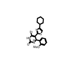 CCC1=C(c2nc(C3CCCCC3)cs2)C(c2ccccc2OC)NC(=O)N1